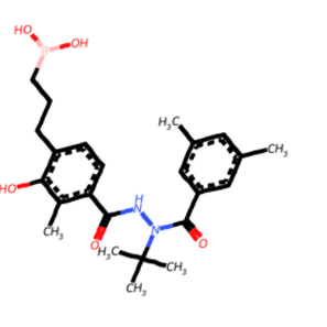 Cc1cc(C)cc(C(=O)N(NC(=O)c2ccc(CCCB(O)O)c(O)c2C)C(C)(C)C)c1